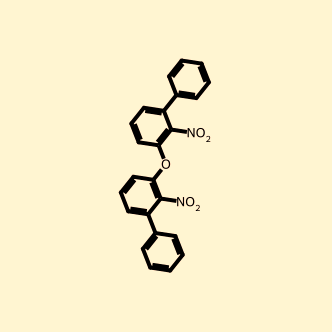 O=[N+]([O-])c1c(Oc2cccc(-c3ccccc3)c2[N+](=O)[O-])cccc1-c1ccccc1